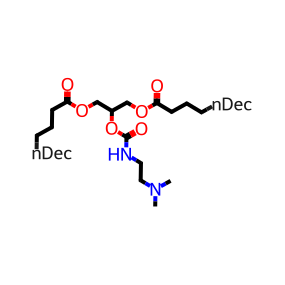 CCCCCCCCCCCCCC(=O)OCC(COC(=O)CCCCCCCCCCCCC)OC(=O)NCCN(C)C